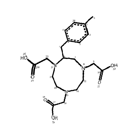 Cc1ccc(CC2CN(CC(=O)O)CCN(CC(=O)O)CCN2CC(=O)O)cc1